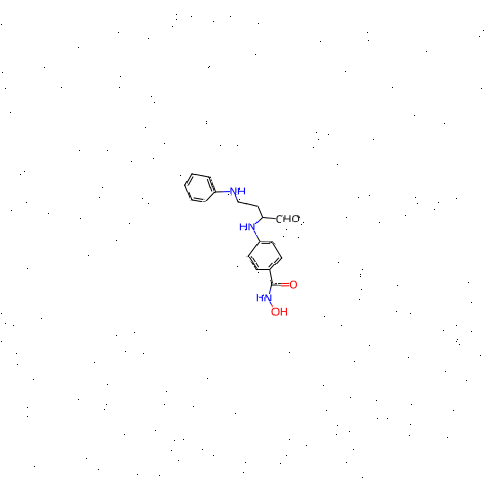 O=CC(CCNc1ccccc1)Nc1ccc(C(=O)NO)cc1